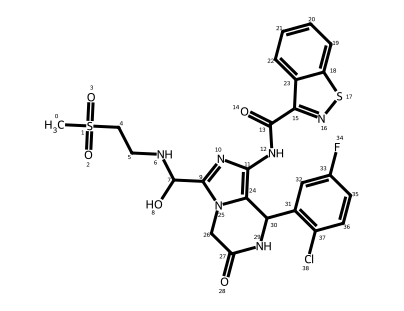 CS(=O)(=O)CCNC(O)c1nc(NC(=O)c2nsc3ccccc23)c2n1CC(=O)NC2c1cc(F)ccc1Cl